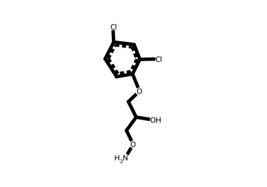 NOCC(O)COc1ccc(Cl)cc1Cl